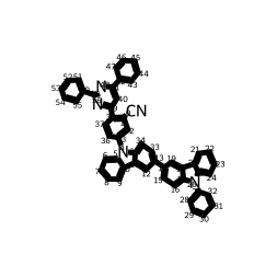 N#Cc1cc(-n2c3ccccc3c3cc(-c4ccc5c(c4)c4ccccc4n5-c4ccccc4)ccc32)ccc1-c1cc(-c2ccccc2)nc(-c2ccccc2)n1